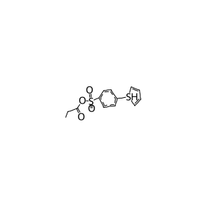 CCC(=O)OS(=O)(=O)c1ccc([SH]2C=CC=C2)cc1